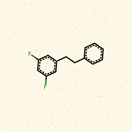 Fc1cc(F)cc(CCc2ccccc2)c1